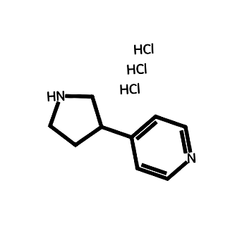 Cl.Cl.Cl.c1cc(C2CCNC2)ccn1